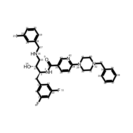 O=C(N[C@@H](Cc1cc(F)cc(F)c1)[C@H](O)CNCc1cccc(I)c1)c1ccc(N2CCN(Cc3ccccc3)CC2)nc1